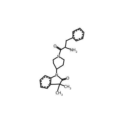 CC1(C)C(=O)N(C2CCN(C(=O)C(N)Cc3ccccc3)CC2)c2ccccc21